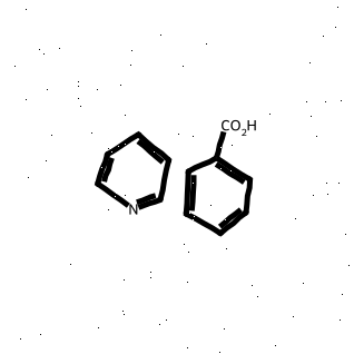 O=C(O)c1ccccc1.c1ccncc1